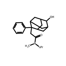 CCCN(C)C(=O)CC1(c2ccccc2)C2CC3CC1CC(C2)C3O